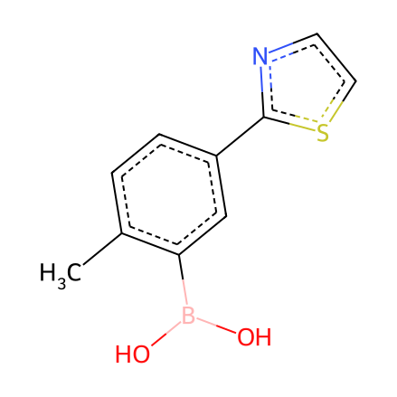 Cc1ccc(-c2nccs2)cc1B(O)O